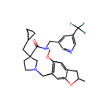 COc1cc2c(cc1CN1CCC(CC3CC3)(C(=O)NCc3cncc(C(F)(F)F)c3)C1)OC(C)C2